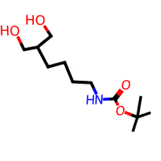 CC(C)(C)OC(=O)NCCCCC(CO)CO